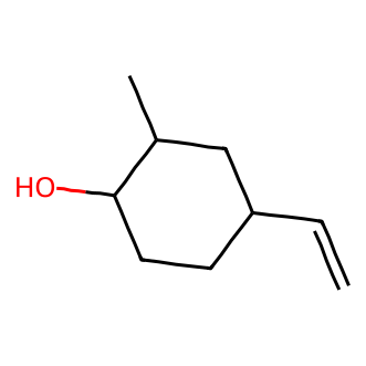 C=CC1CCC(O)C(C)C1